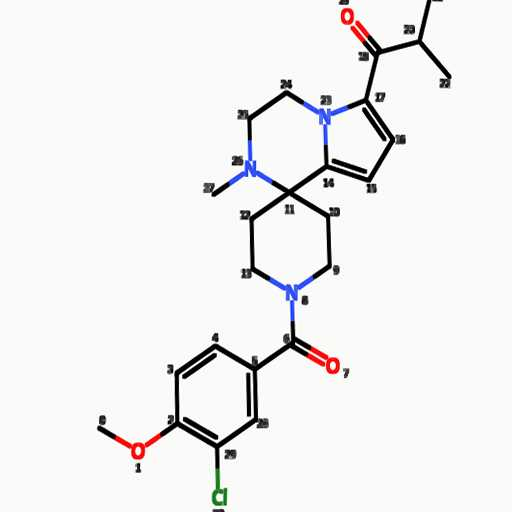 COc1ccc(C(=O)N2CCC3(CC2)c2ccc(C(=O)C(C)C)n2CCN3C)cc1Cl